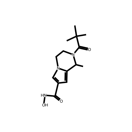 CC1c2cc(C(=O)NO)cn2CCN1C(=O)C(C)(C)C